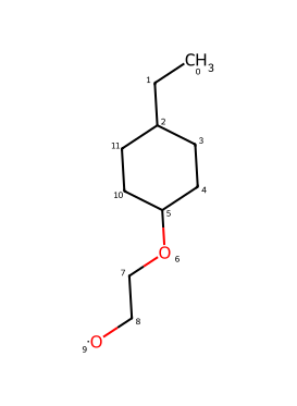 CCC1CCC(OCC[O])CC1